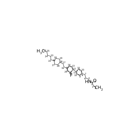 C=CC(=O)NCCCc1ccc(-c2ccc(CCC3CCC(CCCCC)CC3)cc2F)cc1